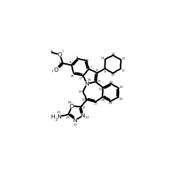 COC(=O)c1ccc2c(C3CCCCC3)c3n(c2c1)CC(c1nnc(N)o1)=Cc1ccccc1-3